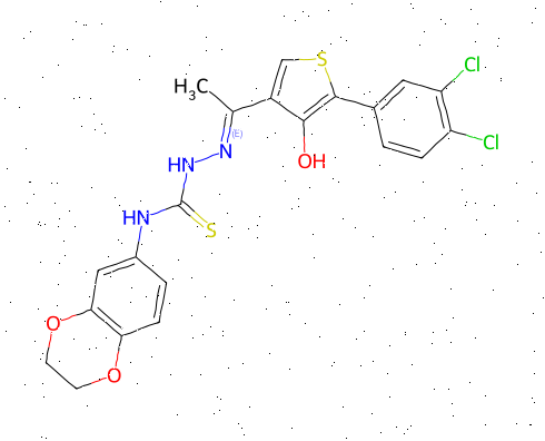 C/C(=N\NC(=S)Nc1ccc2c(c1)OCCO2)c1csc(-c2ccc(Cl)c(Cl)c2)c1O